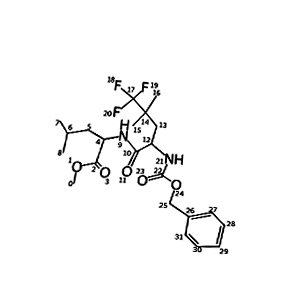 COC(=O)C(CC(C)C)NC(=O)C(CC(C)(C)C(F)(F)F)NC(=O)OCc1ccccc1